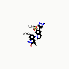 COc1cc(N2CCCc3cc(-c4cnn(C)c4)c(S(=O)(=O)NC(C)=O)cc32)c2cc(C)c(=O)n(C)c2c1